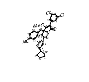 COC1=C(c2cc(Cl)cc(Cl)c2)C(=O)N2CC(n3cc(C4CCCC4)nn3)CC12Cc1ccc(C#N)cc1